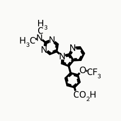 CN(C)c1ncc(-n2cc(-c3ccc(C(=O)O)cc3OC(F)(F)F)c3cccnc32)cn1